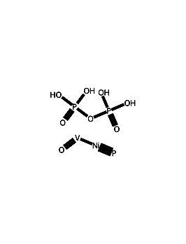 O=P(O)(O)OP(=O)(O)O.[O]=[V][Ni]#[P]